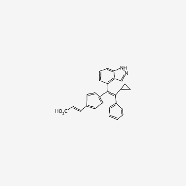 O=C(O)C=Cc1ccc(C(=C(c2ccccc2)C2CC2)c2cccc3[nH]ncc23)cc1